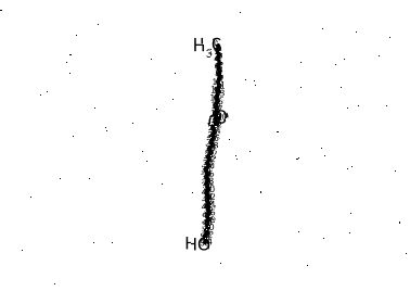 CCCCCCCCC=CCCCCCCCCCC(=O)OCCCCCCCCCCCCCCCCCCCCCCCCCCCCCCCCCO